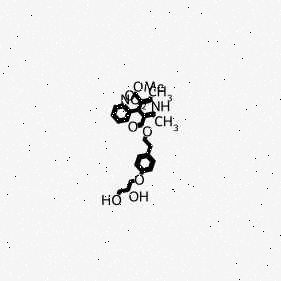 COC(=O)C1=C(C)NC(C)=C(C(=O)OCCc2ccc(OCC(O)CO)cc2)C1c1ccccc1[N+](=O)[O-]